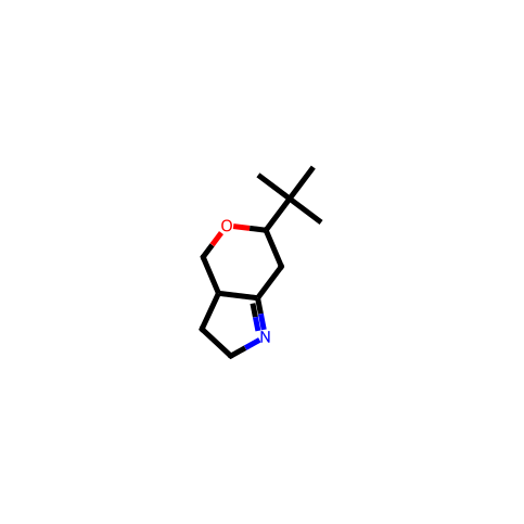 CC(C)(C)C1CC2=NCCC2CO1